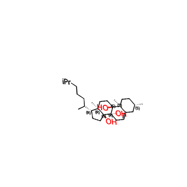 CC(C)CCCC(C)[C@H]1CC[C@@]2(O)[C@]3(O)CC=C4C[C@@H](C)CC[C@]4(C)[C@@]3(O)CC[C@]12C